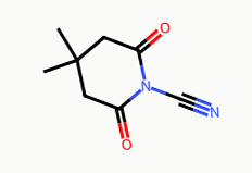 CC1(C)CC(=O)N(C#N)C(=O)C1